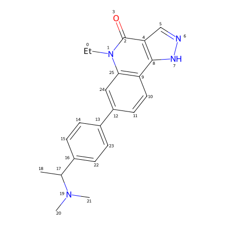 CCn1c(=O)c2cn[nH]c2c2ccc(-c3ccc(C(C)N(C)C)cc3)cc21